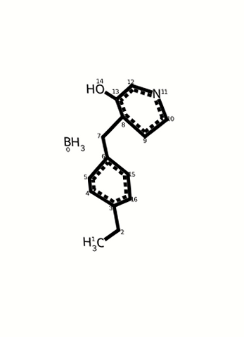 B.CCc1ccc(Cc2ccncc2O)cc1